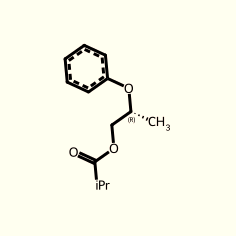 CC(C)C(=O)OC[C@@H](C)Oc1ccccc1